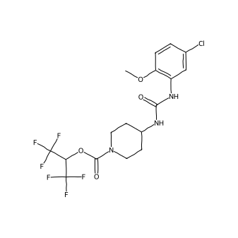 COc1ccc(Cl)cc1NC(=O)NC1CCN(C(=O)OC(C(F)(F)F)C(F)(F)F)CC1